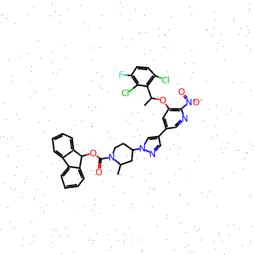 CC(Oc1cc(-c2cnn(C3CCN(C(=O)OC4c5ccccc5-c5ccccc54)C(C)C3)c2)cnc1[N+](=O)[O-])c1c(Cl)ccc(F)c1Cl